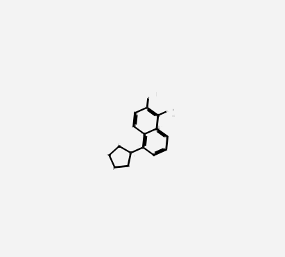 Oc1ccc2c(C3CCCC3)cccc2c1O